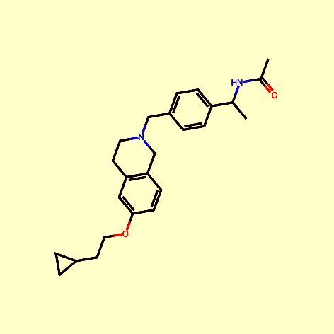 CC(=O)NC(C)c1ccc(CN2CCc3cc(OCCC4CC4)ccc3C2)cc1